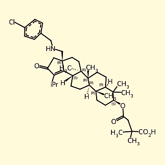 CC(C)C1=C2[C@H]3CC[C@@H]4[C@@]5(C)CC[C@H](OC(=O)CC(C)(C)C(=O)O)C(C)(C)[C@@H]5CC[C@@]4(C)[C@]3(C)CC[C@@]2(CNCc2ccc(Cl)cc2)CC1=O